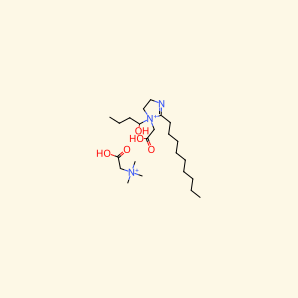 CCCCCCCCCC1=NCC[N+]1(CC(=O)O)C(O)CCC.C[N+](C)(C)CC(=O)O